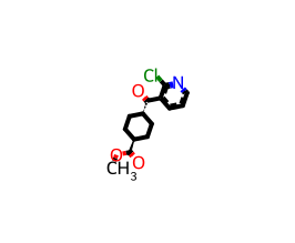 COC(=O)[C@H]1CC[C@H](C(=O)c2cccnc2Cl)CC1